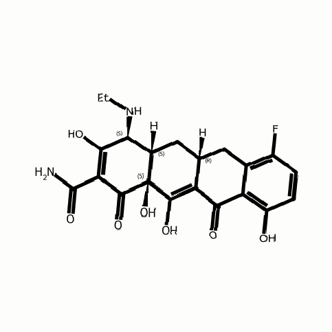 CCN[C@@H]1C(O)=C(C(N)=O)C(=O)[C@@]2(O)C(O)=C3C(=O)c4c(O)ccc(F)c4C[C@H]3C[C@@H]12